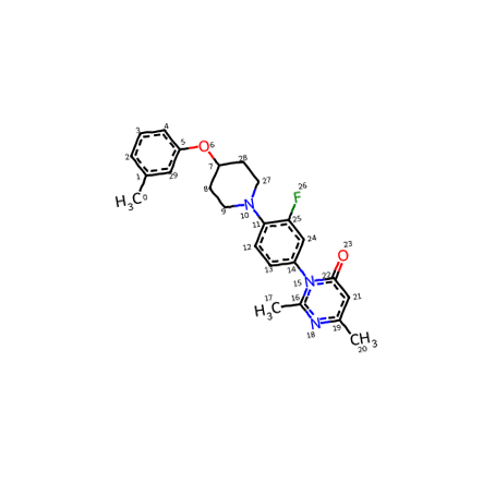 Cc1cccc(OC2CCN(c3ccc(-n4c(C)nc(C)cc4=O)cc3F)CC2)c1